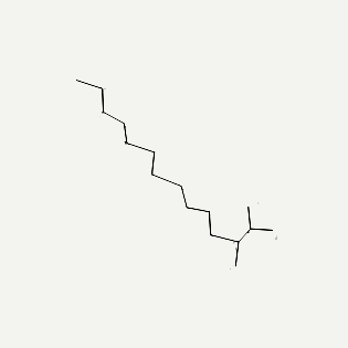 CCCCCCCCCCCC(C)[C](C)C